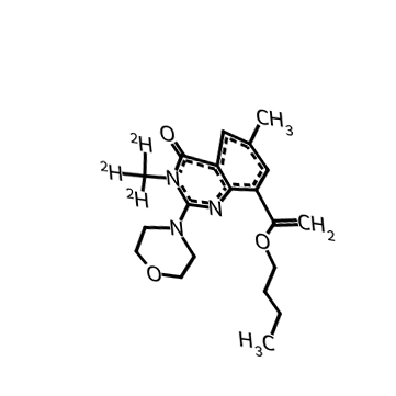 [2H]C([2H])([2H])n1c(N2CCOCC2)nc2c(C(=C)OCCCC)cc(C)cc2c1=O